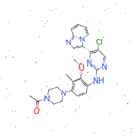 COc1c(Nc2ncc(Cl)c(-c3cnc4ccccn34)n2)ccc(N2CCN(C(C)=O)CC2)c1C